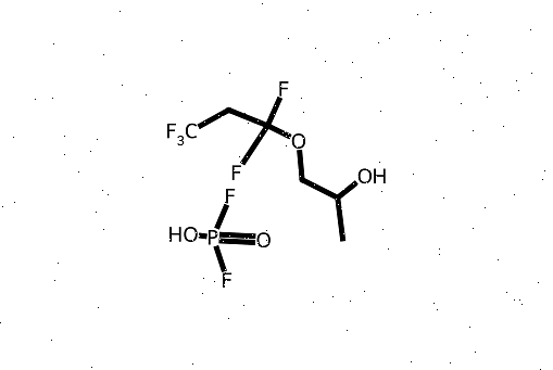 CC(O)COC(F)(F)CC(F)(F)F.O=P(O)(F)F